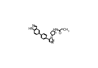 CCC(=O)N[C@H]1CC[C@@H](n2nncc2-c2ccc(-c3ccc4[nH]ncc4c3)cc2)C1